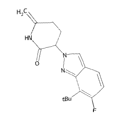 C=C1CCC(n2cc3ccc(F)c(C(C)(C)C)c3n2)C(=O)N1